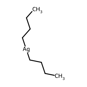 CCC[CH2][Ag][CH2]CCC